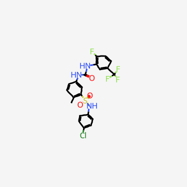 Cc1ccc(NC(=O)Nc2cc(C(F)(F)F)ccc2F)cc1S(=O)(=O)Nc1ccc(Cl)cc1